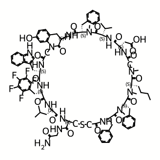 CCCC[C@H]1C(=O)N(C)CC(=O)N[C@@H](CC(=O)O)C(=O)N[C@@H](C(C)C)C(=O)N(C)[C@@H](Cc2ccccc2)C(=O)N[C@H]2Cc3ccc(O)cc3N(CC(=O)N[C@@H](Cc3c[nH]c4ccccc34)C(=O)N[C@@H](Cc3c(F)c(F)c(F)c(F)c3F)C(=O)N[C@@H](CC(C)C)C(=O)N[C@H](C(=O)NCC(N)=O)CSCC(=O)N[C@@H](Cc3ccccc3)C(=O)N(C)[C@@H](Cc3ccccc3)C(=O)N1C)C2=O